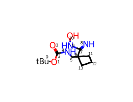 CC(C)(C)OC(=O)NCC1(C(=N)NO)CCC1